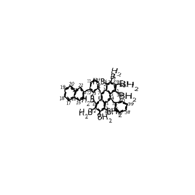 Bc1c(B)c(B)c2c(-c3cccc(-c4ccc5ccccc5c4)c3)c3c(B)c(B)c(B)c(B)c3c(-c3ccccc3)c2c1B